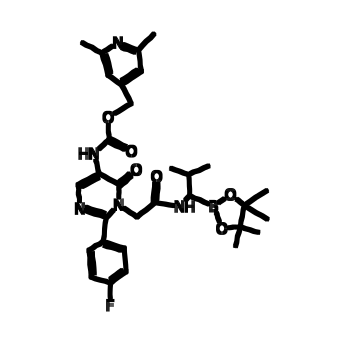 Cc1cc(COC(=O)Nc2cnc(-c3ccc(F)cc3)n(CC(=O)NC(B3OC(C)(C)C(C)(C)O3)C(C)C)c2=O)cc(C)n1